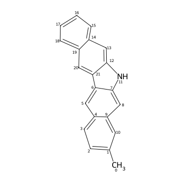 Cc1ccc2cc3c(cc2c1)[nH]c1cc2ccccc2cc13